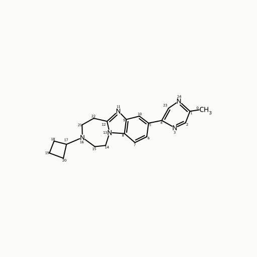 Cc1cnc(-c2ccc3c(c2)nc2n3CCN(C3CCC3)CC2)cn1